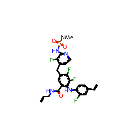 C=CCNC(=O)c1cc(Cc2ccnc(NS(=O)(=O)NC)c2F)c(F)c(F)c1Nc1ccc(C=C)cc1F